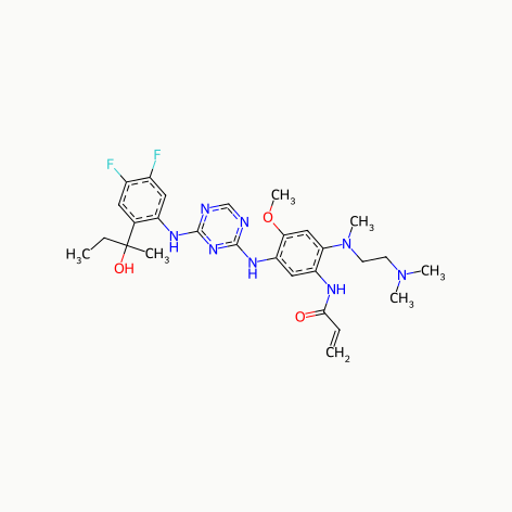 C=CC(=O)Nc1cc(Nc2ncnc(Nc3cc(F)c(F)cc3C(C)(O)CC)n2)c(OC)cc1N(C)CCN(C)C